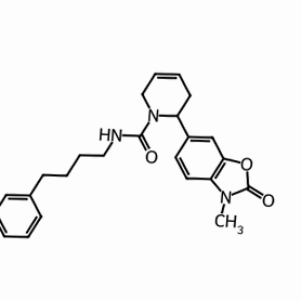 Cn1c(=O)oc2cc(C3CC=CCN3C(=O)NCCCCc3ccccc3)ccc21